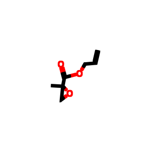 C=CCOC(=O)C1(C)CO1